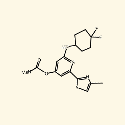 CNC(=O)Oc1cc(NC2CCC(F)(F)CC2)nc(-c2nc(C)cs2)c1